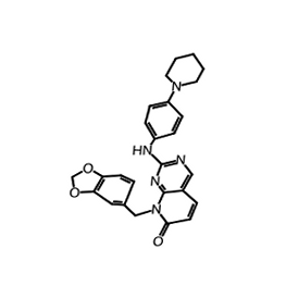 O=c1ccc2cnc(Nc3ccc(N4CCCCC4)cc3)nc2n1Cc1ccc2c(c1)OCO2